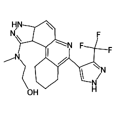 CN(CCO)C1=NNC2C=Cc3nc(-c4c[nH]nc4C(F)(F)F)c4c(c3C12)CCCC4